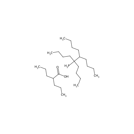 CCCC(CCC)C(=O)O.CCCCC(CCCC)C(P)(CCCC)CCCC